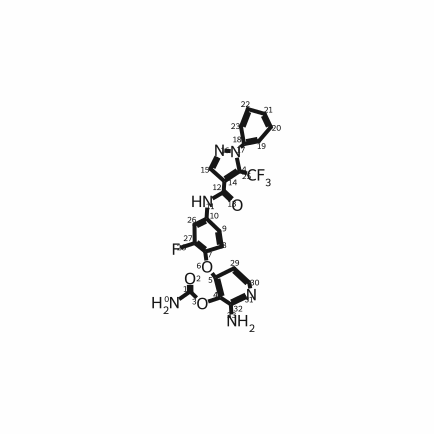 NC(=O)Oc1c(Oc2ccc(NC(=O)c3cnn(-c4ccccc4)c3C(F)(F)F)cc2F)ccnc1N